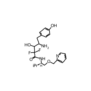 CC(C)[C@H](COCc1ccccn1)NC(=O)C(F)(F)C(O)C(N)Cc1ccc(O)cc1